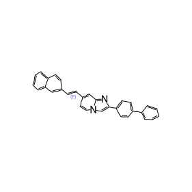 C(=C\c1ccn2cc(-c3ccc(-c4ccccc4)cc3)nc2c1)/c1ccc2ccccc2c1